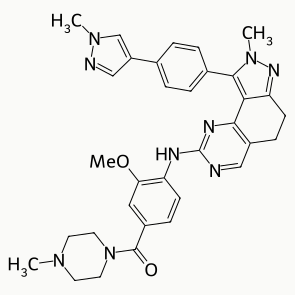 COc1cc(C(=O)N2CCN(C)CC2)ccc1Nc1ncc2c(n1)-c1c(nn(C)c1-c1ccc(-c3cnn(C)c3)cc1)CC2